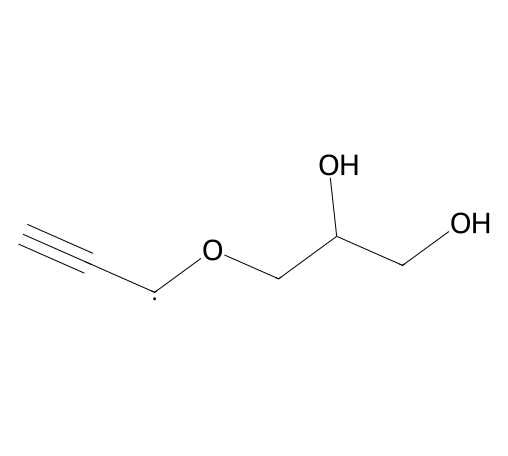 C#C[CH]OCC(O)CO